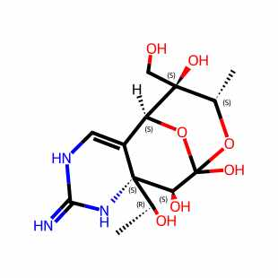 C[C@@H]1OC2(O)O[C@@H](C3=CNC(=N)N[C@@]3([C@@H](C)O)[C@@H]2O)[C@]1(O)CO